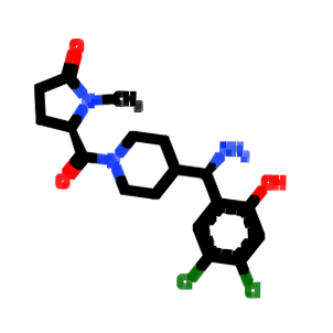 CN1C(=O)CC[C@@H]1C(=O)N1CCC([C@@H](N)c2cc(Cl)c(Cl)cc2O)CC1